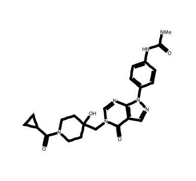 CNC(=O)Nc1ccc(-n2ncc3c(=O)n(CC4(O)CCN(C(=O)C5CC5)CC4)cnc32)cc1